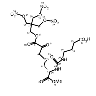 COC(=O)[C@H](CSCC(=O)C(=O)OCC(CO[N+](=O)[O-])(CO[N+](=O)[O-])CO[N+](=O)[O-])NC(=O)NCCCC(=O)O